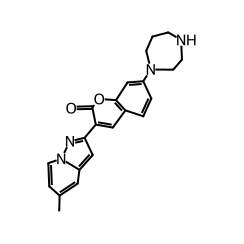 Cc1ccn2nc(-c3cc4ccc(N5CCCNCC5)cc4oc3=O)cc2c1